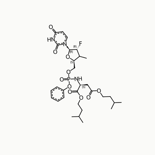 CC(C)CCOC(=O)C[C@H](NP(=O)(OC[C@H]1O[C@@H](n2ccc(=O)[nH]c2=O)[C@H](F)C1C)Oc1ccccc1)C(=O)OCCC(C)C